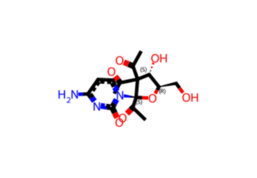 CC(=O)C1(C(C)=O)[C@H](O)[C@@H](CO)O[C@@]1(C(C)=O)n1ccc(N)nc1=O